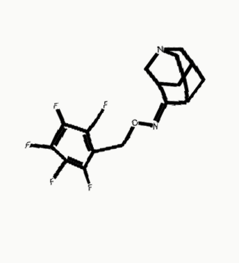 Fc1c(F)c(F)c(CON=C2C3CC4CC2CN(C4)C3)c(F)c1F